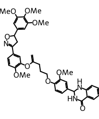 C=C(CCCOc1ccc(C2NC(=O)c3ccccc3N2)cc1OC)Oc1cc(C2=NOC(c3cc(OC)c(OC)c(OC)c3)C2)ccc1OC